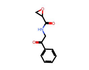 O=C(CNC(=O)C1CO1)c1ccccc1